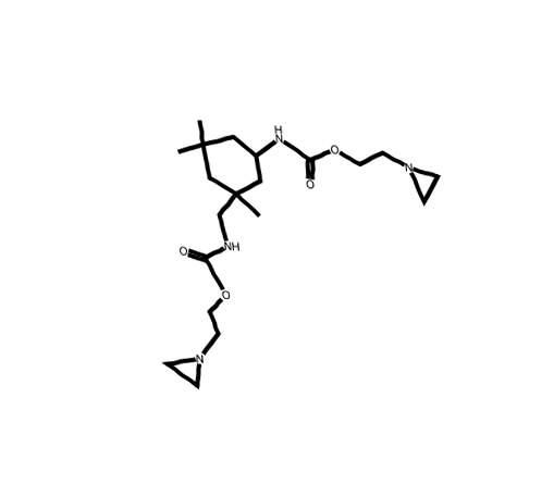 CC1(C)CC(NC(=O)OCCN2CC2)CC(C)(CNC(=O)OCCN2CC2)C1